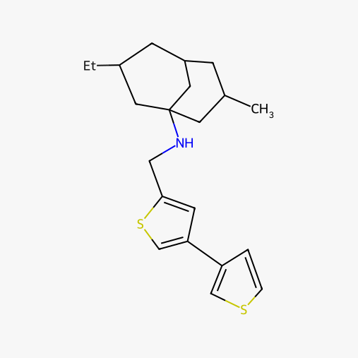 CCC1CC2CC(C)CC(NCc3cc(-c4ccsc4)cs3)(C1)C2